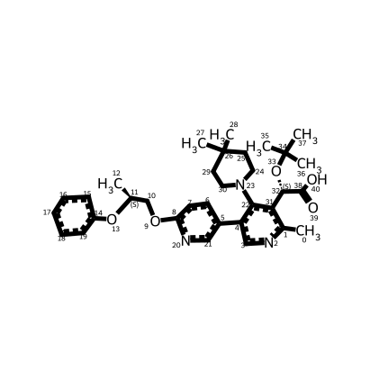 Cc1ncc(-c2ccc(OC[C@H](C)Oc3ccccc3)nc2)c(N2CCC(C)(C)CC2)c1[C@H](OC(C)(C)C)C(=O)O